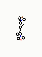 CC1(C)c2cc(CCC3=c4ccccc4=C(N4c5ccccc5Oc5ccccc54)CC3)ccc2-c2ccc(N3c4ccccc4SC4(C)CCC=C[C@@H]34)cc21